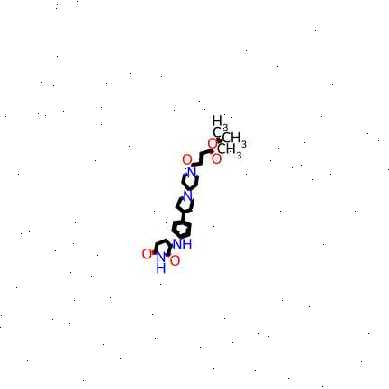 CC(C)(C)OC(=O)CCC(=O)N1CCC(N2CCC(c3ccc(NC4CCC(=O)NC4=O)cc3)CC2)CC1